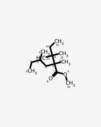 CCC(C)CC(C)(C(=O)OC)C(C)(C)CC